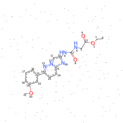 CCOC(=O)CNC(=O)Nc1cn2nc(-c3cccc(OC)c3)ccc2n1